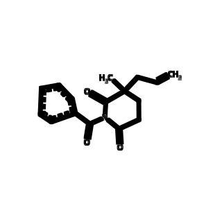 C=CCC1(C)CCC(=O)N(C(=O)c2ccccc2)C1=O